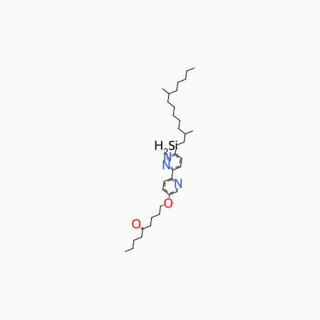 CCCCCC(C)CCCCCC(C)C[SiH2]c1ccc(-c2ccc(OCCCCC(=O)CCCC)cn2)nn1